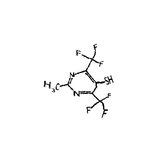 Cc1nc(C(F)(F)F)c(S)c(C(F)(F)F)n1